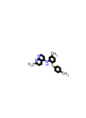 Cc1ccc(Sc2ccc(C)cc2Nc2ccnc3nc(C)ccc23)cc1